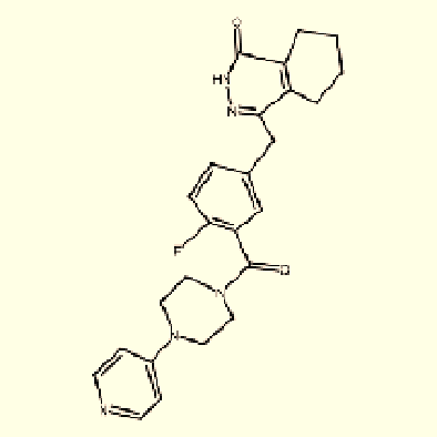 O=C(c1cc(Cc2n[nH]c(=O)c3c2CCCC3)ccc1F)N1CCN(c2ccncc2)CC1